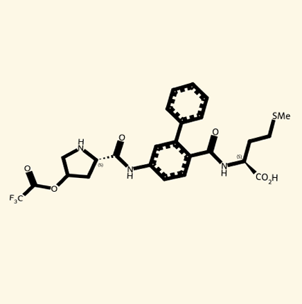 CSCC[C@H](NC(=O)c1ccc(NC(=O)[C@@H]2CC(OC(=O)C(F)(F)F)CN2)cc1-c1ccccc1)C(=O)O